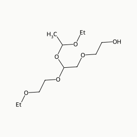 CCOCCOC(COCCO)OC(C)OCC